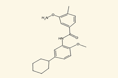 COc1ccc(C2CCCCC2)cc1NC(=O)c1ccc(C)c(ON)c1